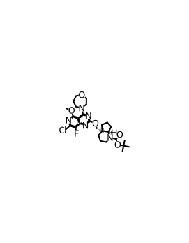 COc1nc(Cl)c(F)c2nc(OC[C@]34CCC[C@H]3N(C(=O)OC(C)(C)C)CCC4)nc(N3CCCOCC3)c12